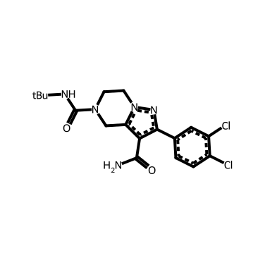 CC(C)(C)NC(=O)N1CCn2nc(-c3ccc(Cl)c(Cl)c3)c(C(N)=O)c2C1